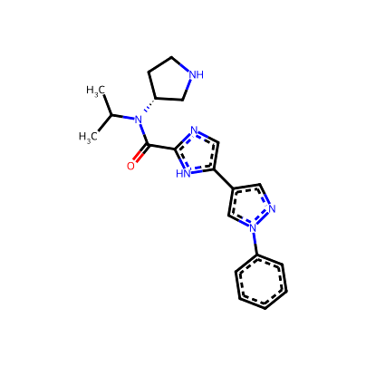 CC(C)N(C(=O)c1ncc(-c2cnn(-c3ccccc3)c2)[nH]1)[C@@H]1CCNC1